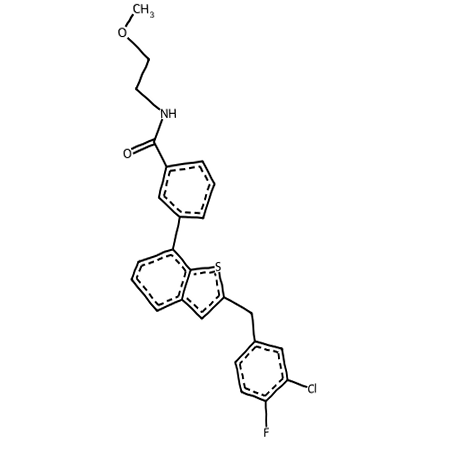 COCCNC(=O)c1cccc(-c2cccc3cc(Cc4ccc(F)c(Cl)c4)sc23)c1